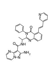 CC(NC(=O)c1c(N)nn2cccnc12)c1nc2cccc(/C=C/c3cccnc3)c2c(=O)n1-c1ccccc1